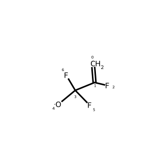 C=C(F)C([O])(F)F